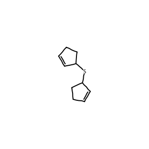 C1=CC(SC2C=CCC2)CC1